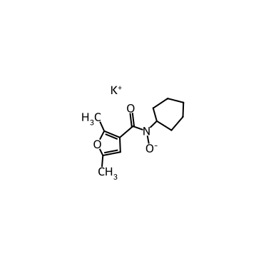 Cc1cc(C(=O)N([O-])C2CCCCC2)c(C)o1.[K+]